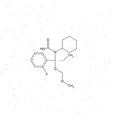 CC[C@](OCOC)(c1ccccc1F)N(C(=O)O)C1CCCCC1